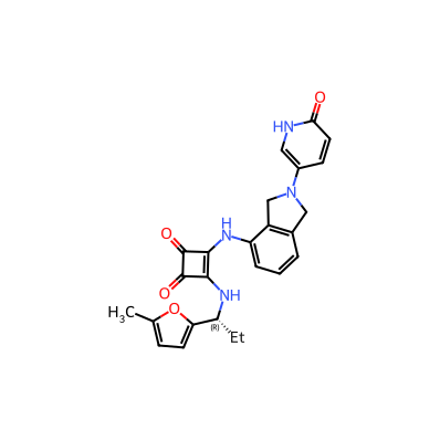 CC[C@@H](Nc1c(Nc2cccc3c2CN(c2ccc(=O)[nH]c2)C3)c(=O)c1=O)c1ccc(C)o1